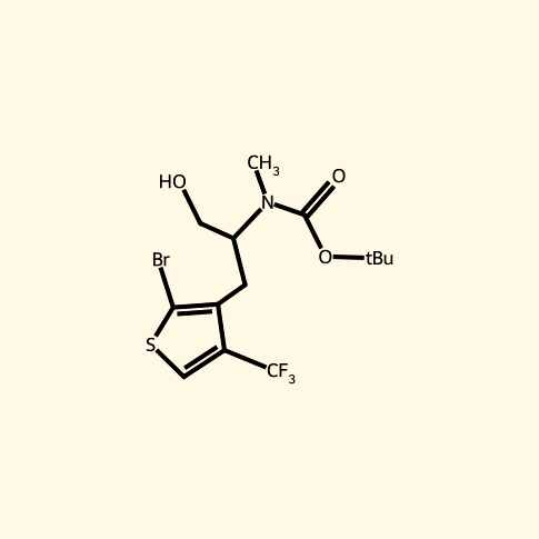 CN(C(=O)OC(C)(C)C)C(CO)Cc1c(C(F)(F)F)csc1Br